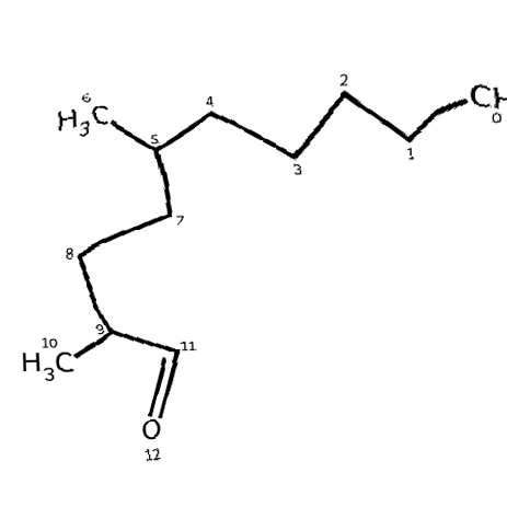 CCCCCC(C)CCC(C)C=O